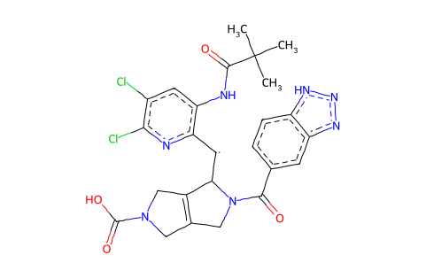 CC(C)(C)C(=O)Nc1cc(Cl)c(Cl)nc1[CH]C1C2=C(CN(C(=O)O)C2)CN1C(=O)c1ccc2[nH]nnc2c1